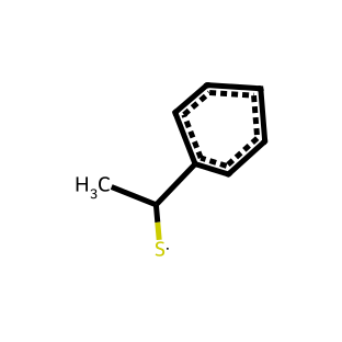 CC([S])c1ccccc1